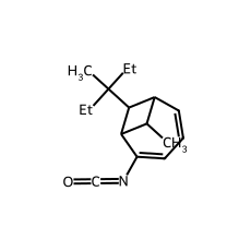 CCC(C)(CC)C1C2C=CC=C(N=C=O)C1C2C